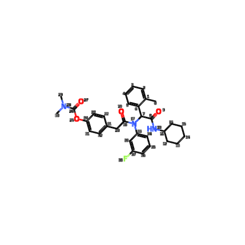 Cc1ccccc1C(C(=O)NC1CCCCC1)N(C(=O)Cc1ccc(OC(=O)N(C)C)cc1)c1cccc(F)c1